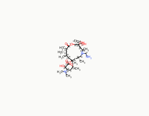 CC[C@H]1OC(=O)[C@H](C)[C@@H](C)[C@H](C)[C@@H](O[C@@H]2O[C@H](C)C[C@@H](N(C)C)[C@H]2O)[C@](C)(O)C[C@@H](C)CN(CN)[C@H](C)[C@@H](O)[C@]1(C)O